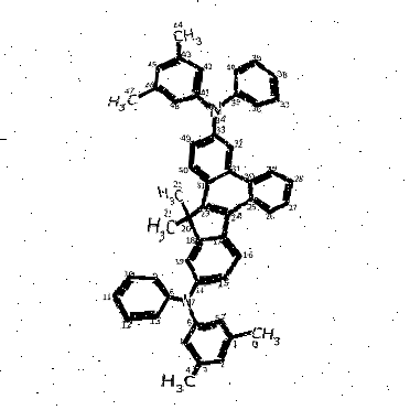 Cc1cc(C)cc(N(c2ccccc2)c2ccc3c(c2)C(C)(C)c2c-3c3ccccc3c3cc(N(c4ccccc4)c4cc(C)cc(C)c4)ccc23)c1